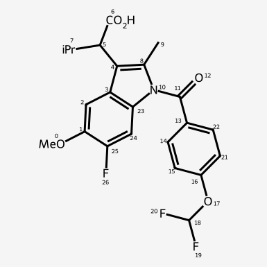 COc1cc2c(C(C(=O)O)C(C)C)c(C)n(C(=O)c3ccc(OC(F)F)cc3)c2cc1F